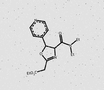 CCOC(=O)CC1=NC(C(=O)N(CC)CC)C(c2ccncc2)O1